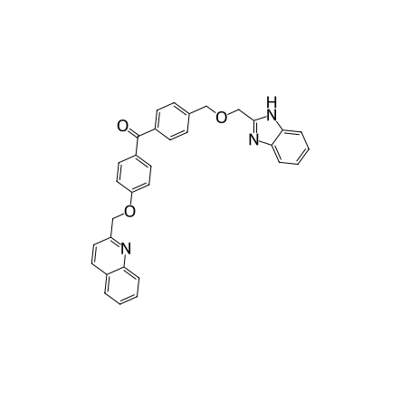 O=C(c1ccc(COCc2nc3ccccc3[nH]2)cc1)c1ccc(OCc2ccc3ccccc3n2)cc1